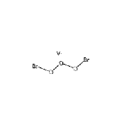 BrOOOBr.[V]